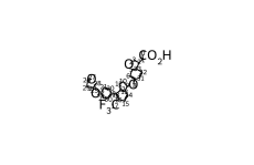 O=C(O)C[C@@H]1COc2cc(O[C@@H]3CCc4c3ccc(C(F)(F)F)c4-c3ccc(O[C@@H]4CCOC4)cc3)ccc21